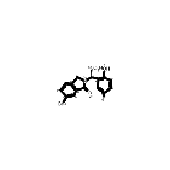 O=C(O)[C@@H](c1cc(F)ccc1O)N1Cc2ccc(Br)cc2C1=O